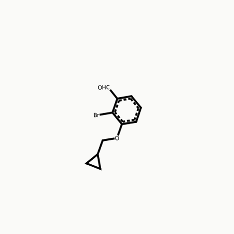 O=Cc1cccc(OCC2CC2)c1Br